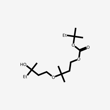 CCC(C)(O)CCOC(C)(C)CCOC(=O)OC(C)(C)CC